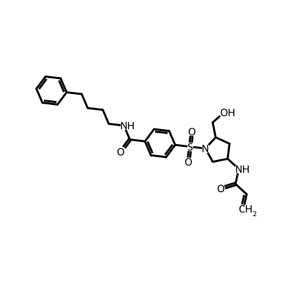 C=CC(=O)NC1CC(CO)N(S(=O)(=O)c2ccc(C(=O)NCCCCc3ccccc3)cc2)C1